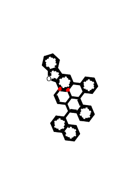 C1=CC2C(c3ccccc3-c3ccc4oc5ccccc5c4c3)=c3ccccc3=C(c3cccc4ccccc34)C2C=C1